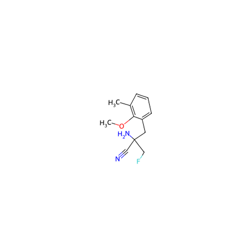 COc1c(C)cccc1CC(N)(C#N)CF